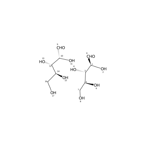 O=C[C@@H](O)[C@@H](O)[C@@H](O)CO.O=C[C@H](O)[C@@H](O)[C@@H](O)CO